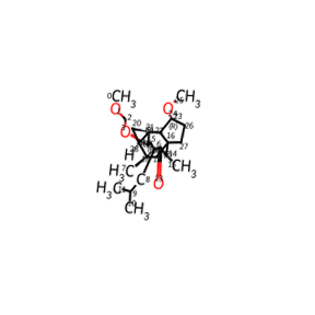 COCO[C@@H]1C[C@@](C)(CC(C)C)C(=O)[C@H](C)C23CC[C@H]4C[C@]41C2[C@H](OC)CC3